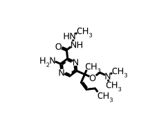 CC/C=C\C(C)(OCN(C)C)c1cnc(N)c(C(=O)NNC)n1